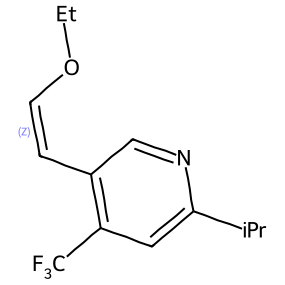 CCO/C=C\c1cnc(C(C)C)cc1C(F)(F)F